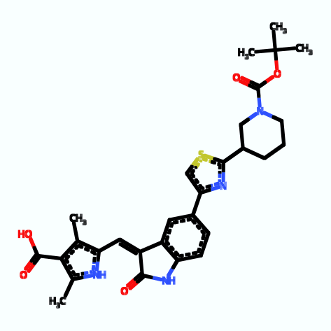 Cc1[nH]c(/C=C2\C(=O)Nc3ccc(-c4csc(C5CCCN(C(=O)OC(C)(C)C)C5)n4)cc32)c(C)c1C(=O)O